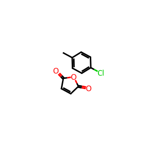 Cc1ccc(Cl)cc1.O=C1C=CC(=O)O1